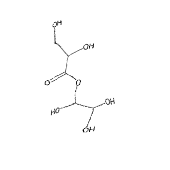 O=C(OC(O)C(O)O)C(O)CO